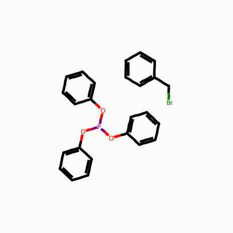 BrCc1ccccc1.c1ccc(OP(Oc2ccccc2)Oc2ccccc2)cc1